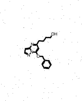 OCCCCc1cc(OCc2ccccc2)n2nccc2n1